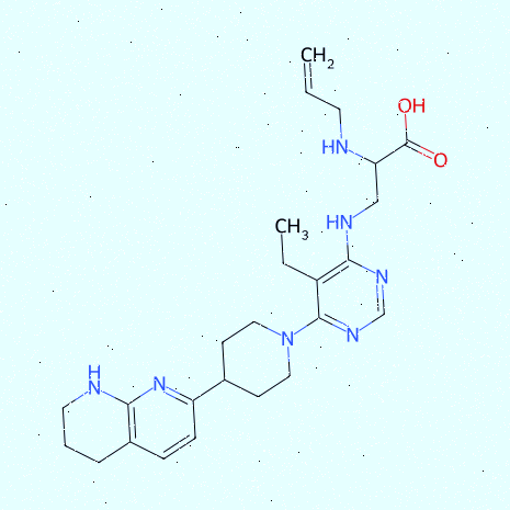 C=CCNC(CNc1ncnc(N2CCC(c3ccc4c(n3)NCCC4)CC2)c1CC)C(=O)O